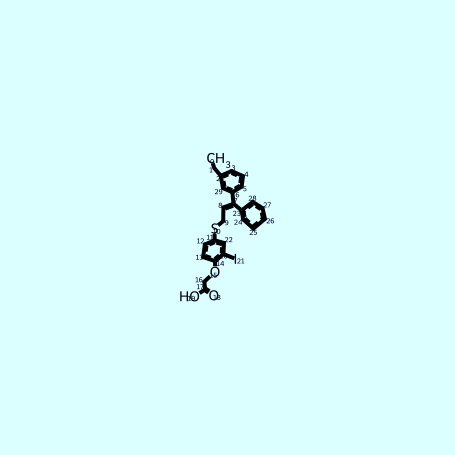 CCc1cccc(C(=CCSc2ccc(OCC(=O)O)c(I)c2)c2ccccc2)c1